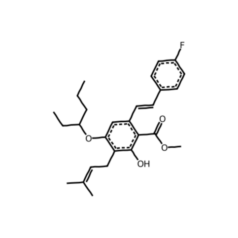 CCCC(CC)Oc1cc(C=Cc2ccc(F)cc2)c(C(=O)OC)c(O)c1CC=C(C)C